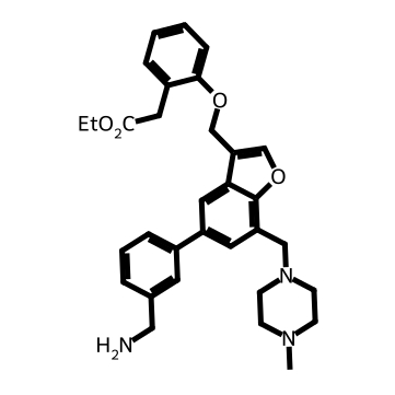 CCOC(=O)Cc1ccccc1OCc1coc2c(CN3CCN(C)CC3)cc(-c3cccc(CN)c3)cc12